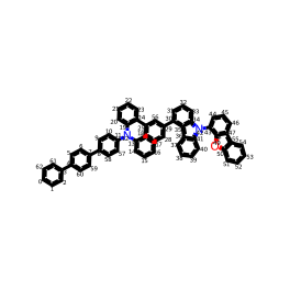 c1ccc(-c2ccc(-c3ccc(N(c4ccccc4)c4ccccc4-c4cccc(-c5cccc6c5c5ccccc5n6-c5cccc6c5oc5ccccc56)c4)cc3)cc2)cc1